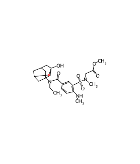 CCN(C(=O)c1ccc(NC)c(S(=O)(=O)N(C)CC(=O)OC)c1)C12CC3CC(CC(O)(C3)C1)C2